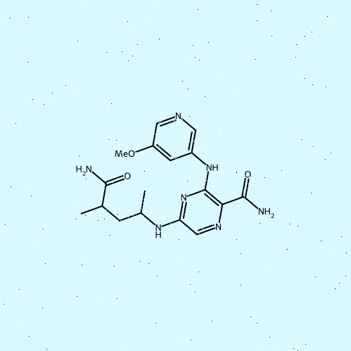 COc1cncc(Nc2nc(NC(C)CC(C)C(N)=O)cnc2C(N)=O)c1